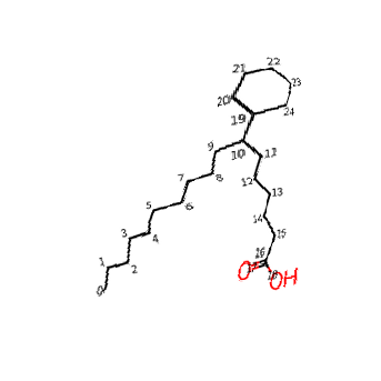 CCCCCCCCCCC(CCCCCC(=O)O)C1CCCCC1